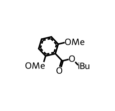 CCC(C)OC(=O)c1c(OC)cccc1OC